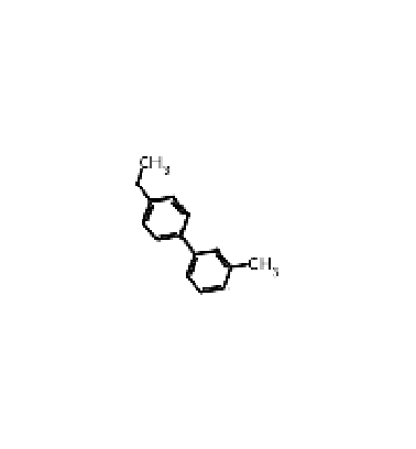 CCc1ccc(-c2cc[c]c(C)c2)cc1